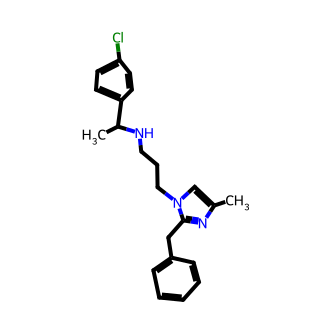 Cc1cn(CCCNC(C)c2ccc(Cl)cc2)c(Cc2ccccc2)n1